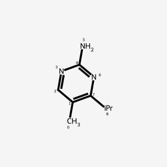 Cc1cnc(N)nc1C(C)C